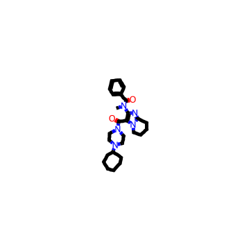 CN(C(=O)c1ccccc1)c1nc2n(c1C(=O)N1CCN(C3CCCCCC3)CC1)CCCC2